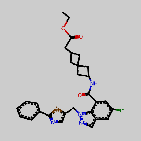 CCOC(=O)CC1CC2(C1)CC(NC(=O)c1cc(Cl)cc3cnn(Cc4cnc(-c5ccccc5)s4)c13)C2